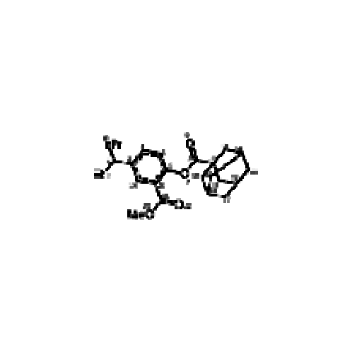 CCCC(CC)c1ccc(OC(=O)C23CC4CC(CC(C4)C2)C3)c(C(=O)OC)c1